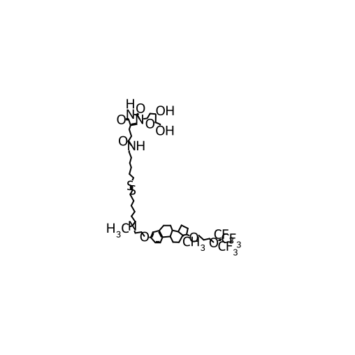 CN(CCCCCCSSCCCCCCNC(=O)CCc1cn(C2CC(O)C(CO)O2)c(=O)[nH]c1=O)CCOc1ccc2c(c1)CCC1C2CCC2(C)C(OCCCOC(C(F)(F)F)(C(F)(F)F)C(F)(F)F)CCC12